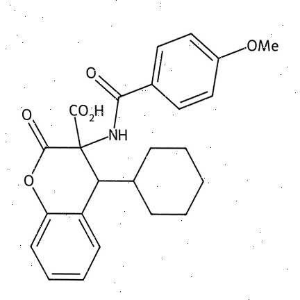 COc1ccc(C(=O)NC2(C(=O)O)C(=O)Oc3ccccc3C2C2CCCCC2)cc1